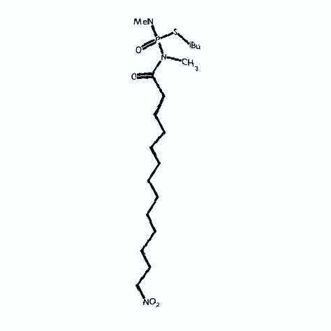 CCC(C)SP(=O)(NC)N(C)C(=O)CCCCCCCCCCCC[N+](=O)[O-]